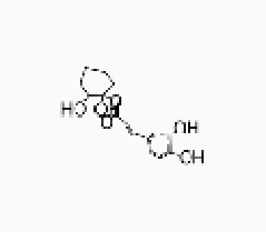 O=C(/C=C/c1ccc(O)c(O)c1)O[C@@]1(O)CCCC[C@@H]1O